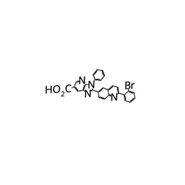 O=C(O)c1cnc2c(c1)nc(-c1ccc3nc(-c4ccccc4Br)ccc3c1)n2-c1ccccc1